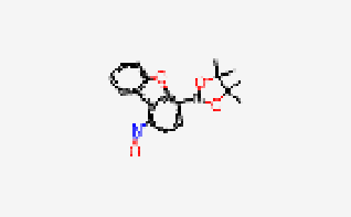 CC1(C)OB(c2ccc(N=O)c3c2oc2ccccc23)OC1(C)C